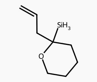 C=CCC1([SiH3])CCCCO1